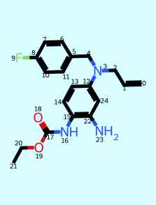 C=CCN(Cc1ccc(F)cc1)c1ccc(NC(=O)OCC)c(N)c1